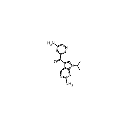 CC(C)n1cc(C(=O)c2cncc(N)c2)c2cnc(N)nc21